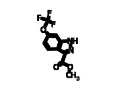 COC(=O)c1n[nH]c2cc(OC(F)(F)F)ccc12